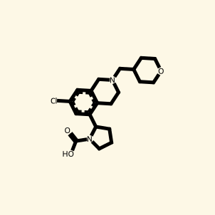 O=C(O)N1CCCC1c1cc(Cl)cc2c1CCN(CC1CCOCC1)C2